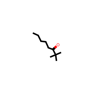 CCCC[CH]C(=O)C(C)(C)C